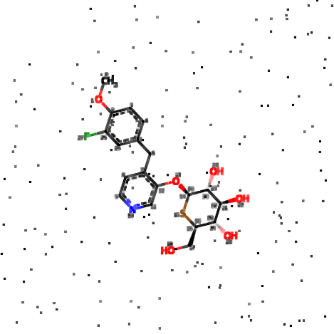 COc1ccc(Cc2ccncc2O[C@@H]2S[C@H](CO)[C@@H](O)[C@H](O)[C@H]2O)cc1F